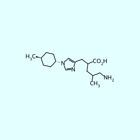 CC(CN)CC(Cc1cn([C@H]2CC[C@H](C)CC2)cn1)C(=O)O